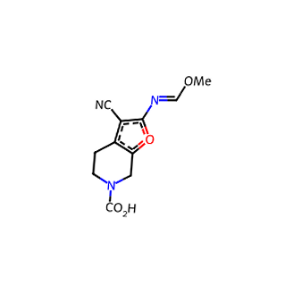 COC=Nc1oc2c(c1C#N)CCN(C(=O)O)C2